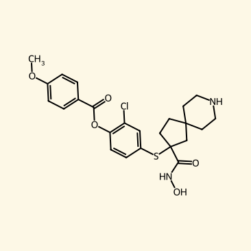 COc1ccc(C(=O)Oc2ccc(SC3(C(=O)NO)CCC4(CCNCC4)C3)cc2Cl)cc1